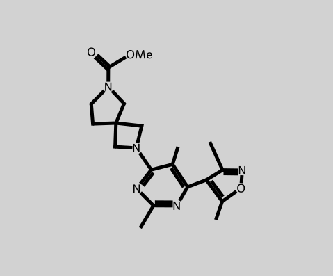 COC(=O)N1CCC2(C1)CN(c1nc(C)nc(-c3c(C)noc3C)c1C)C2